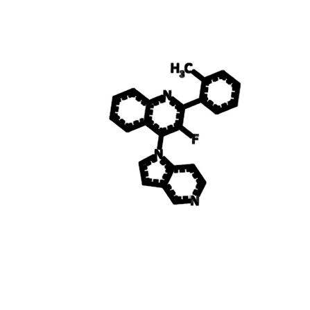 Cc1ccccc1-c1nc2ccccc2c(-n2ccc3cnccc32)c1F